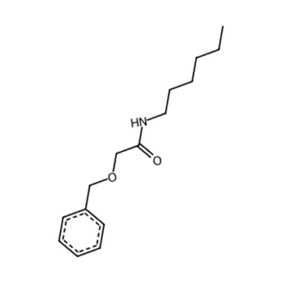 CCCCCCNC(=O)COCc1ccccc1